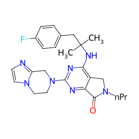 CCCN1Cc2c(NC(C)(C)Cc3ccc(F)cc3)nc(N3CCn4ccnc4C3)nc2C1=O